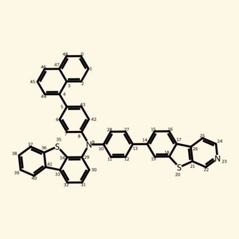 c1ccc2c(-c3ccc(N(c4ccc(-c5ccc6c(c5)sc5cnccc56)cc4)c4cccc5c4sc4ccccc45)cc3)cccc2c1